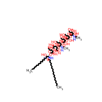 CCCCCCCCCCCCC/C=C/[C@@H](O)[C@H](CO[C@@H]1OC(CO)[C@@H](O[C@@H]2OC(CO)[C@H](O[C@@H]3OC(CO)[C@H](O)[C@H](O[C@@H]4OC(CO)[C@H](O)[C@H](O[C@H]5OC(CO)[C@H](O)[C@H](O[C@@H]6OC(CO)[C@H](O)[C@H](O)C6NC(C)=O)C5O)C4O)C3NC(C)=O)[C@H](O)C2O)[C@H](O)C1O)NC(=O)CCCCCCCCCCCCCCCCCCC